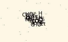 CCC(O)(c1cc(F)c2c(c1)C(=O)N(Cc1ncc(Cl)cn1)[C@@H]2OC[C@@H](C)O)C1(F)CCNCC1